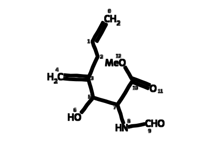 C=CCC(=C)C(O)C(NC=O)C(=O)OC